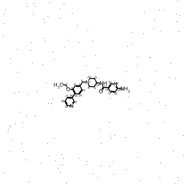 CCOc1cc(CN2CCC(NC(=O)c3ccc(N)nc3)CC2)ccc1-c1cccnc1